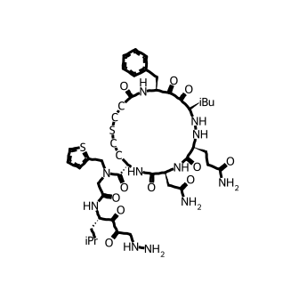 CC[C@H](C)C1NN[C@@H](CCC(N)=O)C(=O)N[C@@H](CC(N)=O)C(=O)N[C@H](C(=O)N(CC(=O)N[C@@H](CC(C)C)C(=O)C(=O)CNN)Cc2cccs2)CCSCCC(=O)N[C@@H](Cc2ccccc2)C(=O)C1=O